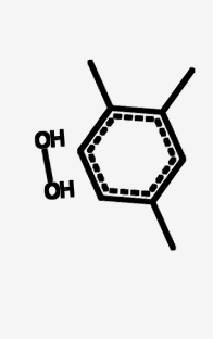 Cc1ccc(C)c(C)c1.OO